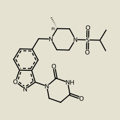 CC(C)S(=O)(=O)N1CCN(Cc2ccc3onc(N4CCC(=O)NC4=O)c3c2)[C@H](C)C1